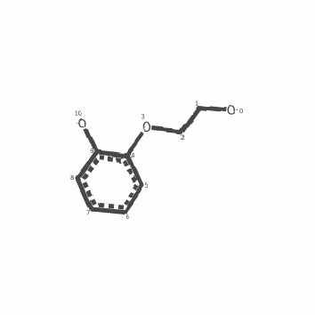 [O]CCOc1ccccc1[O]